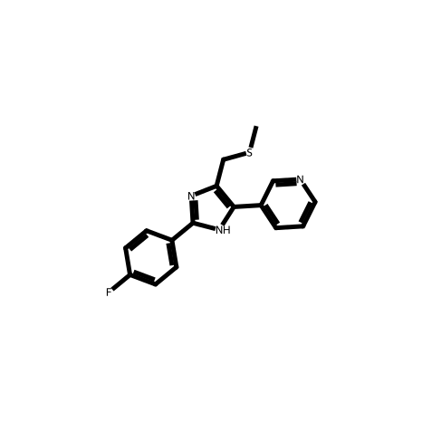 CSCc1nc(-c2ccc(F)cc2)[nH]c1-c1cccnc1